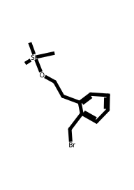 C[Si](C)(C)OCCc1ccccc1CBr